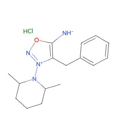 CC1CCCC(C)N1[n+]1noc([NH-])c1Cc1ccccc1.Cl